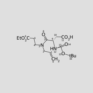 C=CCN(CCC(=O)OCC)C(=O)[C@H](CC(=O)O)NC(=O)OC(C)(C)C